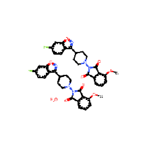 CCOc1cccc2c1C(=O)N(N1CCC(c3noc4cc(F)ccc34)CC1)C2=O.CCOc1cccc2c1C(=O)N(N1CCC(c3noc4cc(F)ccc34)CC1)C2=O.O